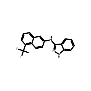 FC(F)(F)c1cccc2cc(Nc3n[nH]c4ccccc34)ccc12